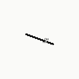 CCCCCCCCCCCCCCCC(O)NCCCCCC